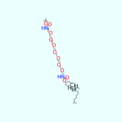 CC(C)CCC[C@@H](C)[C@H]1CC[C@H]2[C@@H]3CC=C4C[C@@H](OC(=O)NCCOCCOCCOCCOCCOCCOCCOCCNC(=O)OC(C)(C)C)CC[C@]4(C)[C@H]3CC[C@]12C